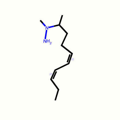 CC/C=C\C=C/CCC(C)N(C)N